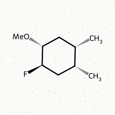 CO[C@@H]1C[C@H](C)[C@H](C)C[C@H]1F